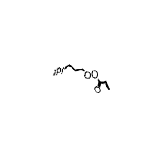 C=CC(=O)OOCCCC(C)C